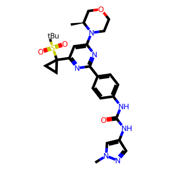 C[C@H]1COCCN1c1cc(C2(S(=O)(=O)C(C)(C)C)CC2)nc(-c2ccc(NC(=O)Nc3cnn(C)c3)cc2)n1